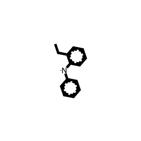 CCc1ccccc1[N]c1ccccc1